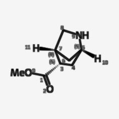 COC(=O)[C@H]1C[C@@H]2C[C@H]1CN2